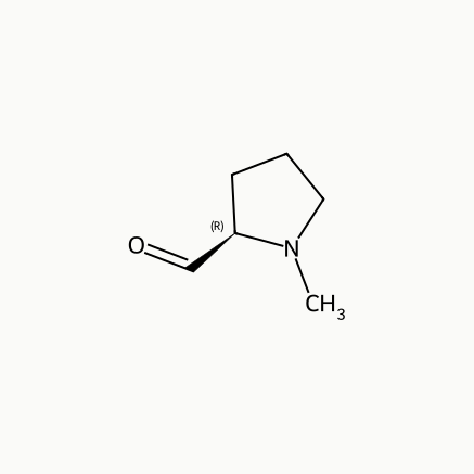 CN1CCC[C@@H]1C=O